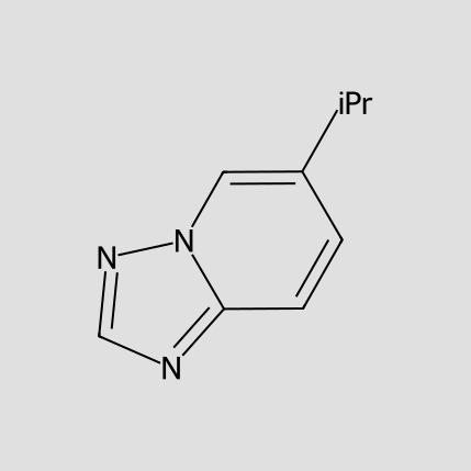 CC(C)c1ccc2ncnn2c1